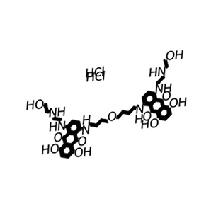 Cl.Cl.O=C1c2c(O)ccc(O)c2C(=O)c2c(NCCNCCO)ccc(NCCCCOCCCCNc3ccc(NCCNCCO)c4c3C(=O)c3c(O)ccc(O)c3C4=O)c21